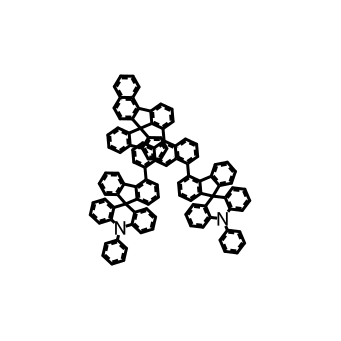 c1ccc(N2c3ccccc3C3(c4ccccc4-c4c(-c5cccc6c(-c7cccc8c7C7(c9ccccc9-c9ccccc97)c7ccc9ccccc9c7-8)c7cccc(-c8cccc9c8-c8ccccc8C98c9ccccc9N(c9ccccc9)c9ccccc98)c7cc56)cccc43)c3ccccc32)cc1